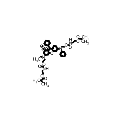 C=C(C)C(=O)OCCNC(=O)OCCN(CC)c1ccc2c(-c3ccccc3S(=O)(=O)O)c3cc/c(=[N+](\CCOC(=O)NCCOC(=O)C(=C)C)c4ccccc4)cc-3oc2c1